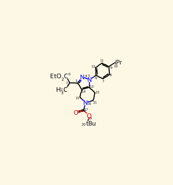 CCOC(=O)C(C)c1nn(-c2ccc(C(C)C)cc2)c2c1CN(C(=O)OC(C)(C)C)CC2